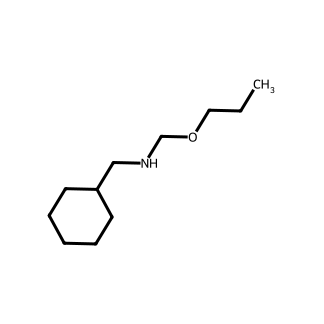 CCCOCNCC1CCCCC1